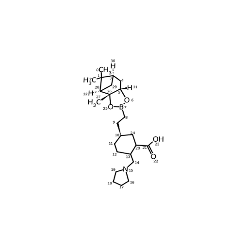 CC1(C)[C@H]2C[C@@H]3OB(CC[C@@H]4CCC(CN5CCCC5)C(C(=O)O)C4)O[C@]3(C)[C@@H]1C2